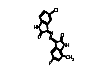 Cc1cc(F)cc2c1NC(=O)/C2=N\N=C1/C(=O)Nc2ccc(Cl)cc21